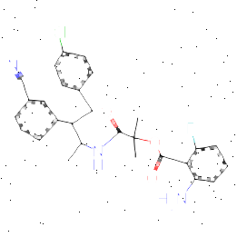 CC(NC(=O)C(C)(C)OC(=O)c1c(N)cccc1F)C(Cc1ccc(Cl)cc1)c1cccc(C#N)c1